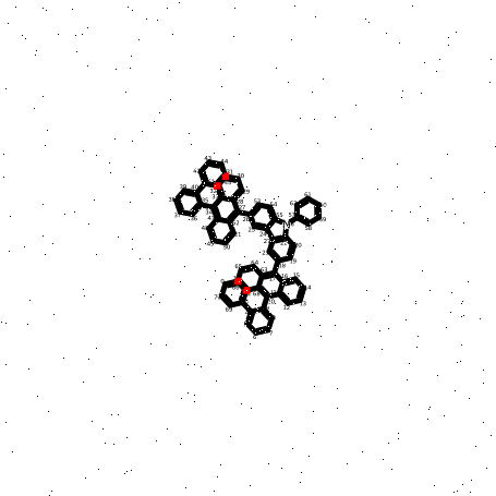 c1ccc(-c2ccccc2-c2c3ccccc3c(-c3ccc4c(c3)c3cc(-c5c6ccccc6c(-c6ccccc6-c6ccccc6)c6ccccc56)ccc3n4-c3ccccc3)c3ccccc23)cc1